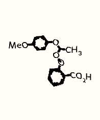 COc1ccc(OC(C)OOc2ccccc2C(=O)O)cc1